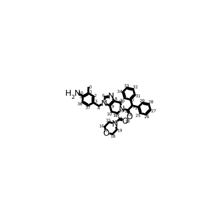 Cc1cc(Cn2cnc3c2C[C@@H](C(=O)N2CCOCC2)N(C(=O)C(c2ccccc2)c2ccccc2)C3)ccc1N